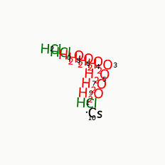 Cl.Cl.Cl.O.O.O.O.O.O.O.[Cs]